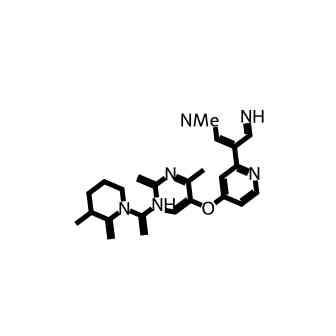 C=C(/N=C(C)\C(=C/C)Oc1ccnc(/C(C=N)=C/NC)c1)NC(=C)N1CCCC(C)C1=C